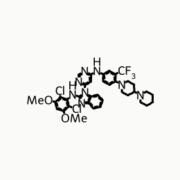 COc1cc(OC)c(Cl)c(Nc2nc3ccccc3n2-c2cc(Nc3ccc(N4CCC(N5CCCCC5)CC4)c(C(F)(F)F)c3)ncn2)c1Cl